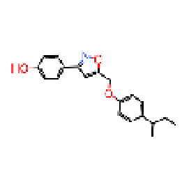 CCC(C)c1ccc(OCc2cc(-c3ccc(O)cc3)no2)cc1